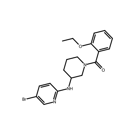 CCOc1ccccc1C(=O)N1CCCC(Nc2ccc(Br)cn2)C1